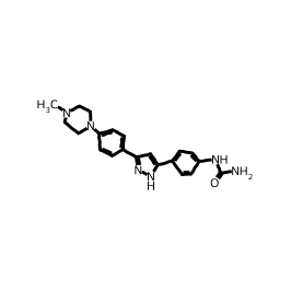 CN1CCN(c2ccc(-c3cc(-c4ccc(NC(N)=O)cc4)[nH]n3)cc2)CC1